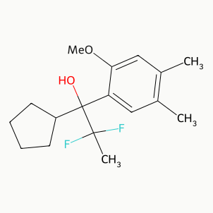 COc1cc(C)c(C)cc1C(O)(C1CCCC1)C(C)(F)F